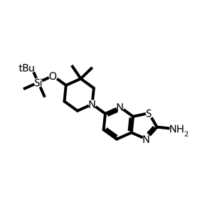 CC1(C)CN(c2ccc3nc(N)sc3n2)CCC1O[Si](C)(C)C(C)(C)C